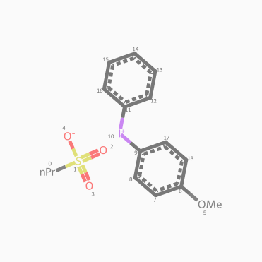 CCCS(=O)(=O)[O-].COc1ccc([I+]c2ccccc2)cc1